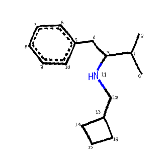 CC(C)C(Cc1ccccc1)NCC1CCC1